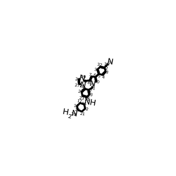 N#Cc1ccc(-c2cc3n(c2)Cc2cc(NC4CCC(N)CC4)ccc2-n2ccnc2-3)cc1